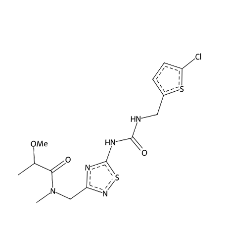 COC(C)C(=O)N(C)Cc1nsc(NC(=O)NCc2ccc(Cl)s2)n1